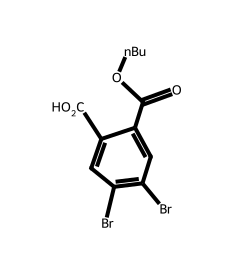 CCCCOC(=O)c1cc(Br)c(Br)cc1C(=O)O